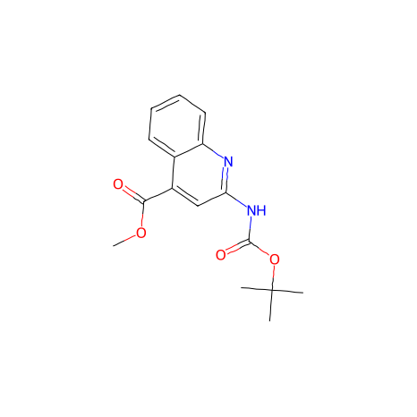 COC(=O)c1cc(NC(=O)OC(C)(C)C)nc2ccccc12